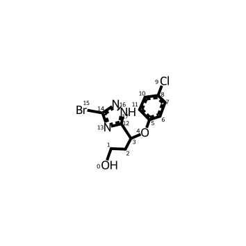 OCCC(Oc1ccc(Cl)cc1)c1nc(Br)n[nH]1